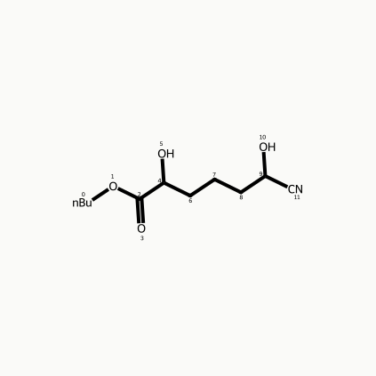 CCCCOC(=O)C(O)CCCC(O)C#N